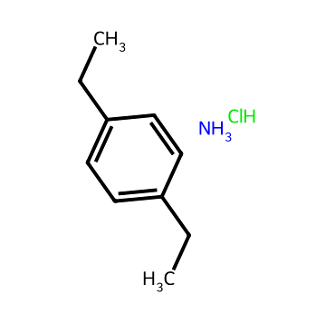 CCc1ccc(CC)cc1.Cl.N